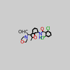 Cc1oc2c(NC(=O)c3c(Cl)cccc3Cl)cccc2c1C(C=O)N1CCOCC1